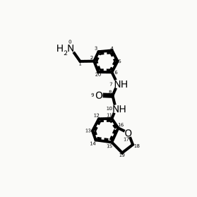 NCc1cccc(NC(=O)Nc2cccc3c2OCC3)c1